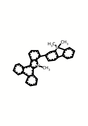 Cn1c2c(-c3ccc4c(c3)[Si](C)(C)c3ccccc3-4)cccc2c2c3ccccc3c3ccccc3c21